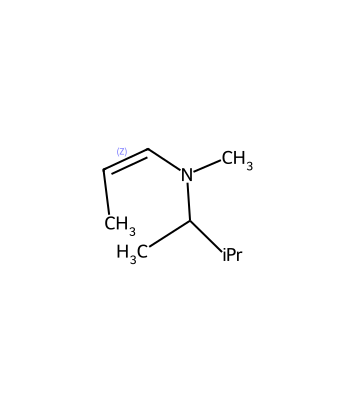 C/C=C\N(C)C(C)C(C)C